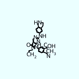 C=CCn1c(=O)c2cnc(Nc3ccc4c(c3)CCNC4)nc2n1-c1ccc(C#N)c(C(C)(C)O)c1